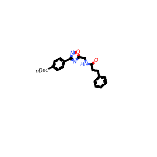 CCCCCCCCCCc1ccc(-c2noc(CNC(=O)CCc3ccccc3)n2)cc1